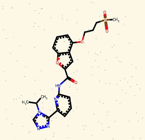 CC(C)n1cnnc1-c1cccc(NC(=O)c2cc3c(OCCCS(C)(=O)=O)cccc3o2)n1